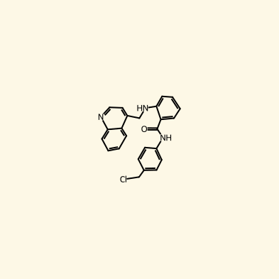 O=C(Nc1ccc(CCl)cc1)c1ccccc1NCc1ccnc2ccccc12